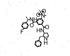 C[C@@H](NC(=O)c1cc(C(=O)NC2CCN[C@H]2Cc2ccccc2)cc(N(C)S(C)(=O)=O)c1)c1ccc(F)cc1